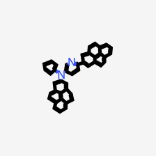 c1ccc(N(c2ccc(-c3cc4ccc5cccc6ccc(c3)c4c56)nc2)c2cc3ccc4cccc5ccc(c2)c3c45)cc1